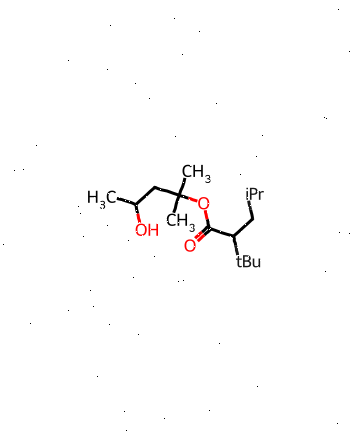 CC(C)CC(C(=O)OC(C)(C)CC(C)O)C(C)(C)C